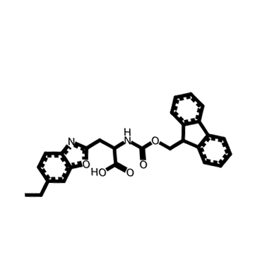 CCc1ccc2nc(CC(NC(=O)OCC3c4ccccc4-c4ccccc43)C(=O)O)oc2c1